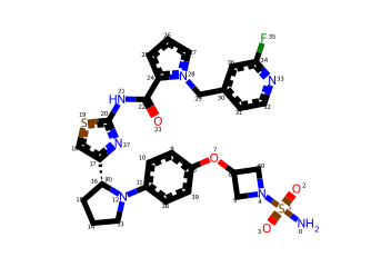 NS(=O)(=O)N1CC(Oc2ccc(N3CCC[C@@H]3c3csc(NC(=O)c4cccn4Cc4ccnc(F)c4)n3)cc2)C1